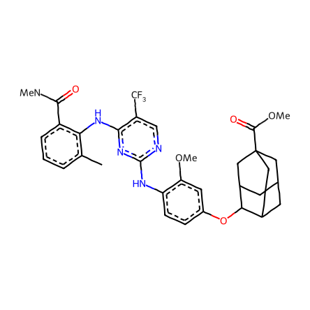 CNC(=O)c1cccc(C)c1Nc1nc(Nc2ccc(OC3C4CC5CC3CC(C(=O)OC)(C5)C4)cc2OC)ncc1C(F)(F)F